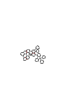 c1ccc(-c2cccc3cccc(-c4ccccc4N(c4ccc(-c5cccc6c5-c5ccccc5C6(c5ccccc5)c5ccccc5)cc4)c4ccccc4-c4ccc5oc6ccccc6c5c4)c23)cc1